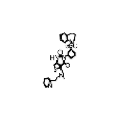 CN(CCc1ccccn1)Cc1scc2[nH]c(=O)n(-c3cccc(S(=O)(=O)N4CCCc5ccccc54)c3)c(=O)c12